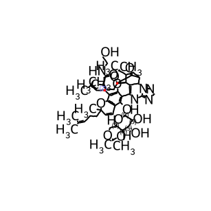 CC(C)=CCCC1(C)C=Cc2c(c(CC=C(C)C)c3c(c2O[C@H]2O[C@H]4COC(C)(C)O[C@@H]4[C@@H](O)[C@@H]2O)C2=C4C(C5CC6C(C)(C)OC(C/C=C(/C)C(=O)NCCO)(C5=O)C46O3)n3ncnc3N2)O1